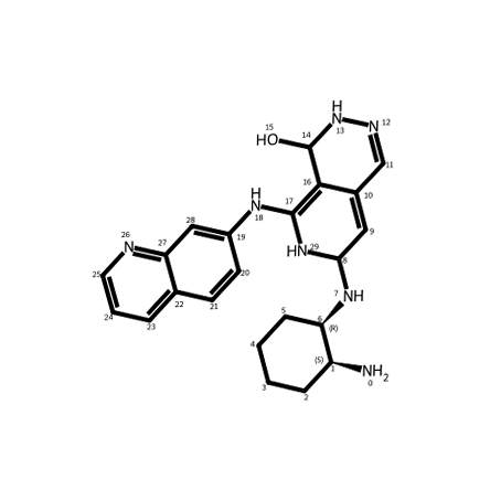 N[C@H]1CCCC[C@H]1NC1C=C2C=NNC(O)C2=C(Nc2ccc3cccnc3c2)N1